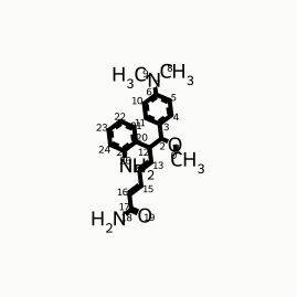 COC(c1ccc(N(C)C)cc1)C(C=CC=CC(N)=O)c1ccccc1N